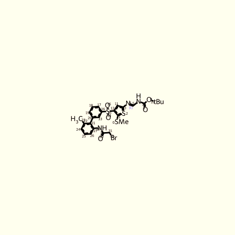 CSc1sc(/N=C/NC(=O)OC(C)(C)C)cc1S(=O)(=O)c1cccc(-c2c(C)cccc2NC(=O)CBr)c1